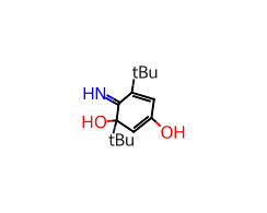 CC(C)(C)C1=CC(O)=CC(O)(C(C)(C)C)C1=N